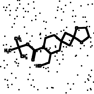 CC(C)(C)OC(=O)N1CCC2(CC1CO)CC1(C2)OCCO1